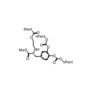 CCCCCOC(=O)Oc1ccc(C[C@H](NCCOC(=O)C(C)CCC)C(=O)OC)cc1OC(=O)OCCCCC